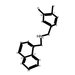 Cc1ccc(CNCc2cccc3ccccc23)cc1C